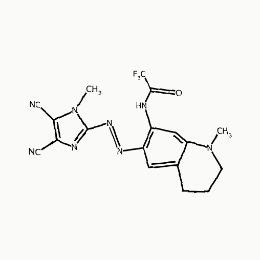 CN1CCCc2cc(N=Nc3nc(C#N)c(C#N)n3C)c(NC(=O)C(F)(F)F)cc21